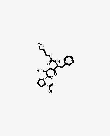 CCCCOC(=O)NC(Cc1ccccc1)C(=O)CC(C)C(=O)N1CCC[C@H]1C(=O)O